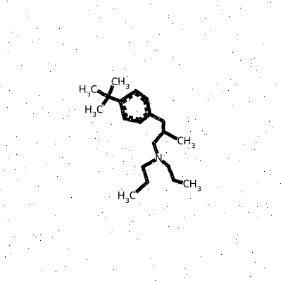 CCCN(CCC)CC(C)Cc1ccc(C(C)(C)C)cc1